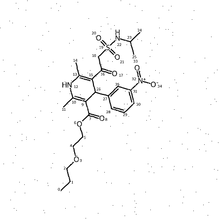 CCCOCCOC(=O)C1=C(C)NC(C)=C(C(=O)CS(=O)(=O)NC(C)C)C1c1cccc([N+](=O)[O-])c1